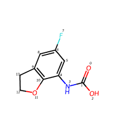 O=C(O)Nc1cc(F)cc2c1OCC2